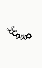 CN1C(=O)SC(=Cc2ccc(Sc3nc4ccccc4[nH]3)o2)C1=O